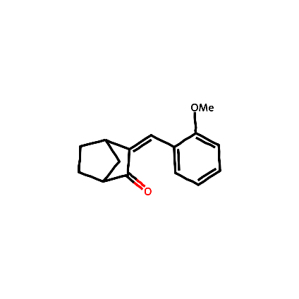 COc1ccccc1C=C1C(=O)C2CCC1C2